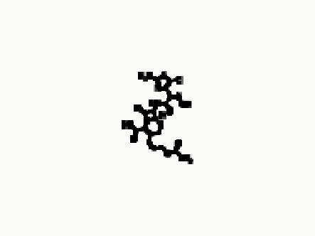 NC(=O)OC/C=C\C1=C(C(=O)O)N2C(=O)[C@@H](NC(=O)/C(=N\O)c3nc(N)sc3Cl)[C@H]2SC1